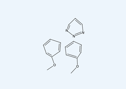 COc1ccccc1.COc1ccccc1.c1cnnnc1